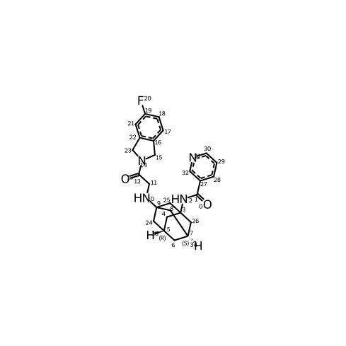 O=C(NC12C[C@@H]3C[C@@H](CC(NCC(=O)N4Cc5ccc(F)cc5C4)(C3)C1)C2)c1cccnc1